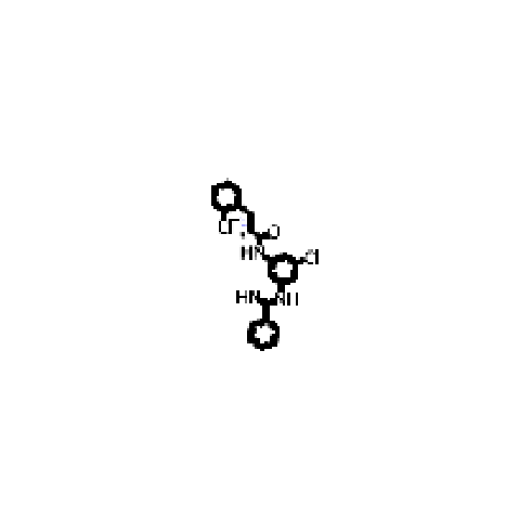 N=C(Nc1cc(Cl)cc(NC(=O)/C=C/c2ccccc2C(F)(F)F)c1)c1ccccc1